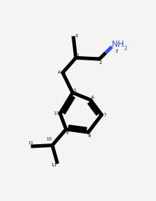 CC(CN)Cc1cccc(C(C)C)c1